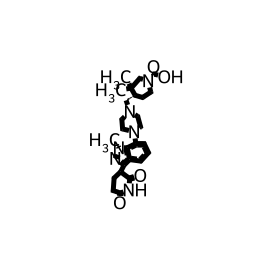 Cn1nc(C2CCC(=O)NC2=O)c2cccc(N3CCN(C[C@H]4CCN(C(=O)O)CC4(C)C)CC3)c21